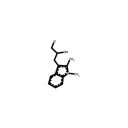 Cc1c(CC(O)CCl)c2ccccc2n1C